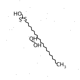 CCCCCCCCCCCCCCCCCCCCCCSC(=S)CO.OCCO